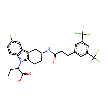 CCC(C(=O)O)n1c2c(c3cc(F)ccc31)C[C@@H](NC(=O)CCc1cc(C(F)(F)F)cc(C(F)(F)F)c1)CC2